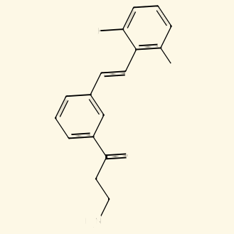 NCCC(=O)c1cccc(/C=C/c2c(Cl)cccc2Cl)c1